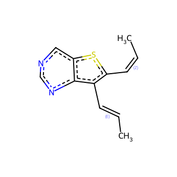 C/C=C\c1sc2cncnc2c1/C=C/C